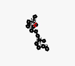 c1ccc(-c2nc(-c3ccc(-c4cccc(-c5cccc6c5c5ccccc5n6-c5cccc6c5oc5c(-c7nc(-c8ccccc8)nc(-c8ccccc8)n7)cccc56)c4)cc3)nc(-c3cccc4c3oc3c(-c5ccc6oc7ccccc7c6c5)cccc34)n2)cc1